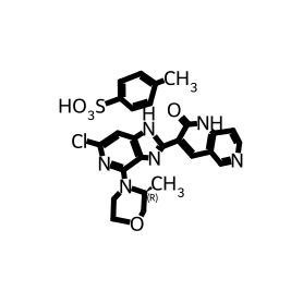 C[C@@H]1COCCN1c1nc(Cl)cc2[nH]c(-c3cc4cnccc4[nH]c3=O)nc12.Cc1ccc(S(=O)(=O)O)cc1